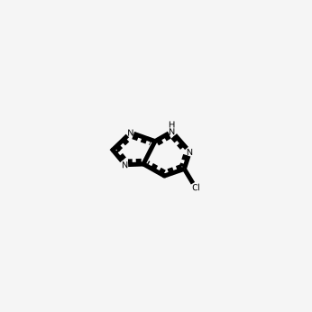 Clc1cc2ncnc-2[nH]n1